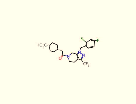 O=C(C[C@H]1CC[C@@H](C(=O)O)CC1)N1CCc2c(C(F)(F)F)nn(Cc3ccc(F)cc3F)c2C1